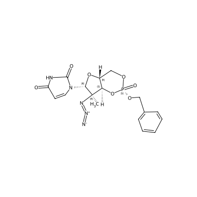 C[C@@]1(N=[N+]=[N-])[C@@H]2O[P@@](=O)(OCc3ccccc3)OC[C@H]2O[C@H]1n1ccc(=O)[nH]c1=O